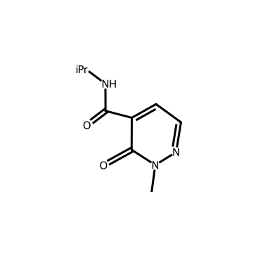 CC(C)NC(=O)c1ccnn(C)c1=O